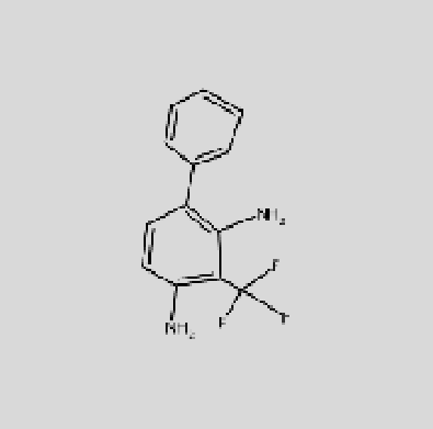 Nc1ccc(-c2ccccc2)c(N)c1C(F)(F)F